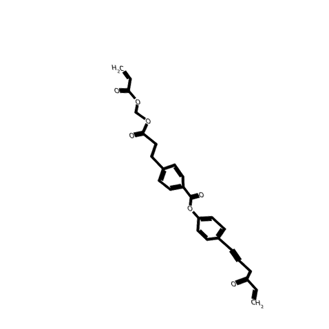 C=CC(=O)CC#Cc1ccc(OC(=O)c2ccc(CCC(=O)OCOC(=O)C=C)cc2)cc1